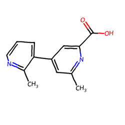 Cc1cc(-c2cccnc2C)cc(C(=O)O)n1